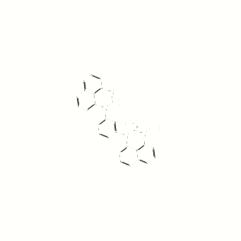 Cc1c(N2c3cccc4cccc(c34)N(C)[C@H]2C)cccc1N1c2cccc3cccc(c23)N(C)[C@@H]1C